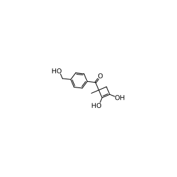 CC1(C(=O)c2ccc(CO)cc2)CC(O)=C1O